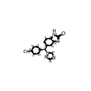 O=c1[nH]c2ccc(C(c3ccc(Cl)cc3)n3cncn3)cc2s1